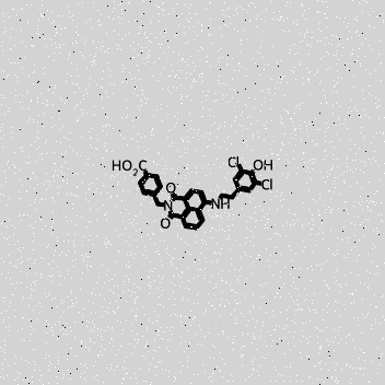 O=C(O)c1ccc(CN2C(=O)c3cccc4c(NCCc5cc(Cl)c(O)c(Cl)c5)ccc(c34)C2=O)cc1